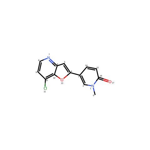 Cn1cc(-c2cc3nccc(Cl)c3o2)ccc1=O